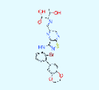 CC(O)C(N=Cc1cnc2snc(Nc3cccc(-c4ccc5c(c4)OCCO5)c3Br)c2n1)C(=O)O